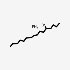 CCCCCCCCCCCC(Br)CCCC.P